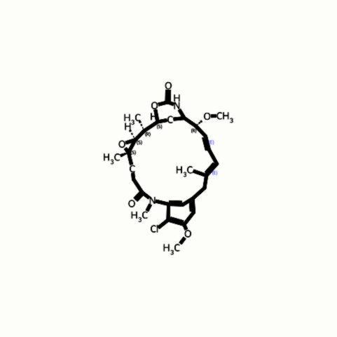 COc1cc2cc(c1Cl)N(C)C(=O)CC[C@]1(C)O[C@H]1[C@H](C)[C@@H]1CC(NC(=O)O1)[C@H](OC)/C=C/C=C(\C)C2